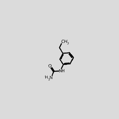 CCc1cccc(NC(N)=O)c1